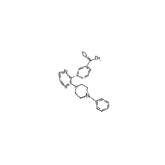 CC(=O)c1cccc(-c2nccnc2N2CCN(c3ccccc3)CC2)c1